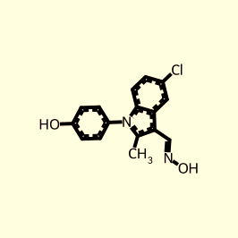 Cc1c(C=NO)c2cc(Cl)ccc2n1-c1ccc(O)cc1